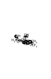 C/C(=N\OC(=O)N(C)CC1CCCN1)[C@H]1CC[C@H]2[C@@H]3CCC4C[C@](C)(OC(=O)C(F)(F)F)CC[C@]4(C)[C@H]3CC[C@]12C.O=C(O)C(F)(F)F